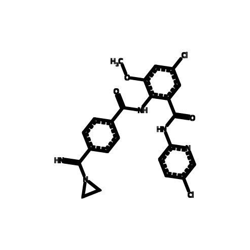 COc1cc(Cl)cc(C(=O)Nc2ccc(Cl)cn2)c1NC(=O)c1ccc(C(=N)N2CC2)cc1